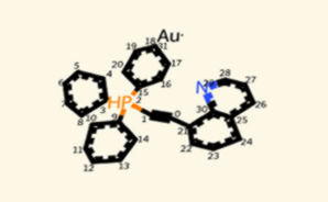 C(#C[PH](c1ccccc1)(c1ccccc1)c1ccccc1)c1cccc2cccnc12.[Au]